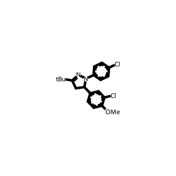 COc1ccc(C2CC(C(C)(C)C)=NN2c2ccc(Cl)cc2)cc1Cl